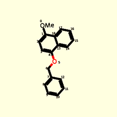 COc1ccc(OCc2ccccc2)c2ccccc12